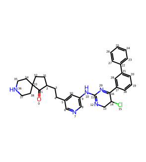 O=C1C(CCc2cncc(NC3=NCC(Cl)C(c4cccc(-c5ccccc5)c4)=N3)c2)CCC12CCNCC2